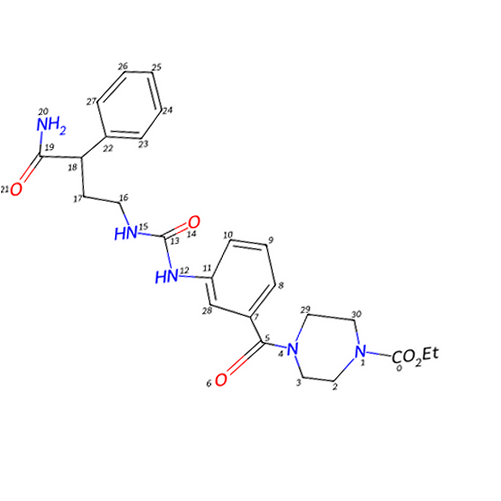 CCOC(=O)N1CCN(C(=O)c2cccc(NC(=O)NCCC(C(N)=O)c3ccccc3)c2)CC1